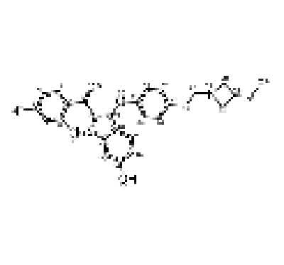 O=C(c1ccc(F)cc1Cl)c1sc2cc(O)ccc2c1Oc1ccc(CCN2CC(CF)C2)cc1